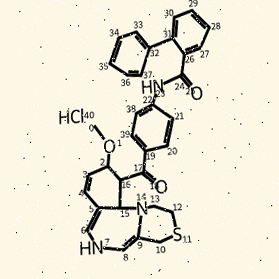 COC1C=CC2=CNC=C3CSCCN3C2C1C(=O)c1ccc(NC(=O)c2ccccc2-c2ccccc2)cc1.Cl